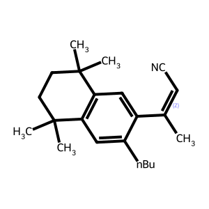 CCCCc1cc2c(cc1/C(C)=C\C#N)C(C)(C)CCC2(C)C